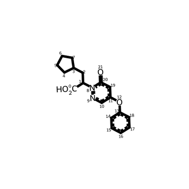 O=C(O)C(CC1CCCC1)n1ncc(Oc2ccccc2)cc1=O